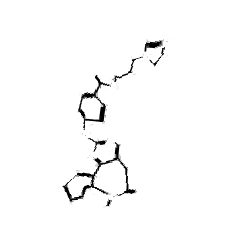 CN1C(=O)Cc2cnc(Nc3ccc(C(=O)NCCCN4C=NCC4)cc3)nc2-c2ccccc21